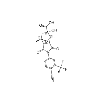 C[C@@]12C[C@@](O)(C(=O)O)[C@](C)(O1)C1C(=O)N(c3ccc(C#N)c(C(F)(F)F)c3)C(=O)C12